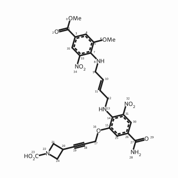 COC(=O)c1cc(OC)c(NC/C=C/CNc2c(OCC#CC3CN(C(=O)O)C3)cc(C(N)=O)cc2[N+](=O)[O-])c([N+](=O)[O-])c1